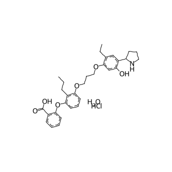 CCCc1c(OCCCOc2cc(O)c(C3CCCN3)cc2CC)cccc1Oc1ccccc1C(=O)O.Cl.O